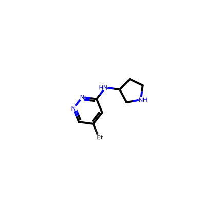 CCc1cnnc(NC2CCNC2)c1